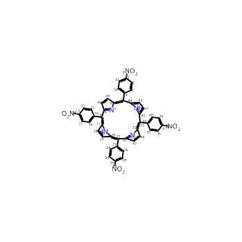 O=[N+]([O-])c1ccc(-c2c3nc(c(-c4ccc([N+](=O)[O-])cc4)c4ccc([nH]4)c(-c4ccc([N+](=O)[O-])cc4)c4nc(c(-c5ccc([N+](=O)[O-])cc5)c5ccc2[nH]5)C=C4)C=C3)cc1